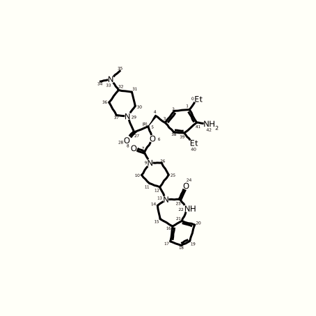 CCc1cc(C[C@@H](OC(=O)N2CCC(N3CCc4ccccc4NC3=O)CC2)C(=O)N2CCC(N(C)C)CC2)cc(CC)c1N